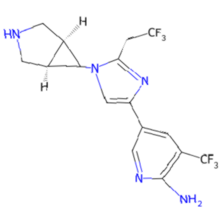 Nc1ncc(-c2cn(C3[C@H]4CNC[C@@H]34)c(CC(F)(F)F)n2)cc1C(F)(F)F